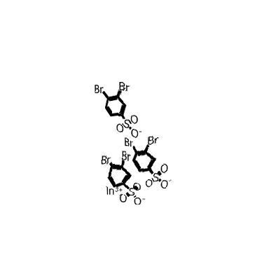 O=S(=O)([O-])c1ccc(Br)c(Br)c1.O=S(=O)([O-])c1ccc(Br)c(Br)c1.O=S(=O)([O-])c1ccc(Br)c(Br)c1.[In+3]